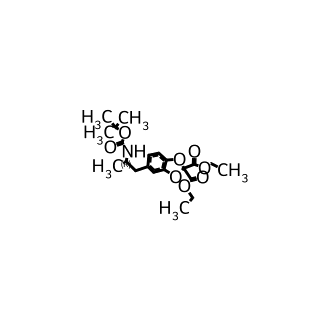 CCOC(=O)C1(C(=O)OCC)Oc2ccc(C[C@@H](C)NC(=O)OC(C)(C)C)cc2O1